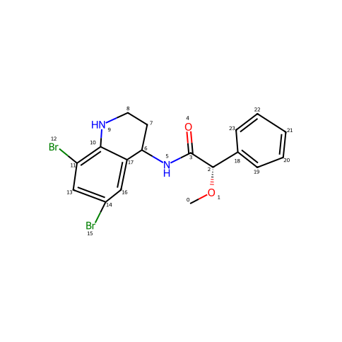 CO[C@H](C(=O)NC1CCNc2c(Br)cc(Br)cc21)c1ccccc1